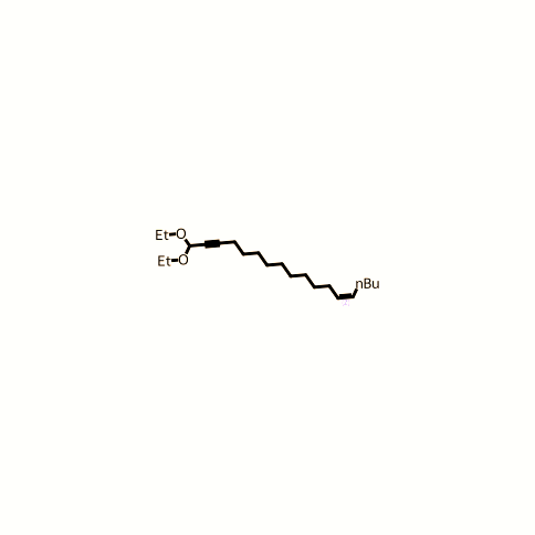 CCCC/C=C\CCCCCCCCCC#CC(OCC)OCC